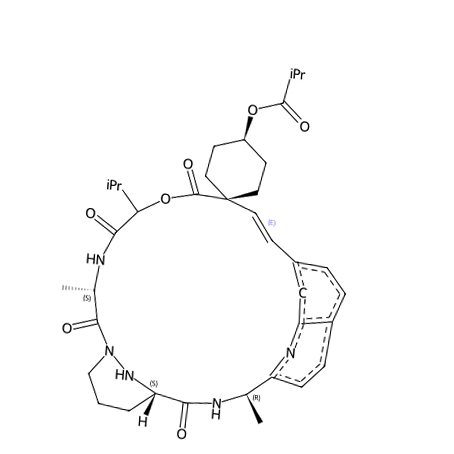 CC(C)C(=O)O[C@H]1CC[C@]2(/C=C/c3ccc4ccc(nc4c3)[C@@H](C)NC(=O)[C@@H]3CCCN(N3)C(=O)[C@H](C)NC(=O)C(C(C)C)OC2=O)CC1